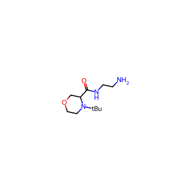 CC(C)(C)N1CCOCC1C(=O)NCCN